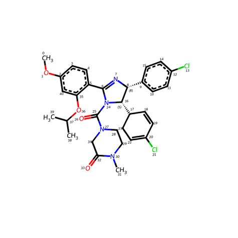 COc1ccc(C2=N[C@H](c3ccc(Cl)cc3)[C@H](C3C=CC(Cl)=CC3)N2C(=O)N2CCN(C)C(=O)C2)c(OC(C)C)c1